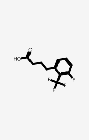 O=C(O)CCCc1cccc(F)c1C(F)(F)F